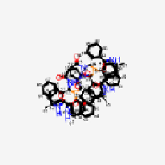 C[C@H](NC(=O)c1ccccc1[C@H]1N2C(=O)CCC(=O)N2[C@H](c2ccccc2[C@H]2N3C(=O)CCC(=O)N3[C@H](c3ccccc3C(=O)N[C@@H](C)c3ccccc3)P2c2ccccc2C(=O)N[C@@H](C)c2ccccc2)P1c1ccccc1C(=O)N[C@@H](C)c1ccccc1)c1ccccc1